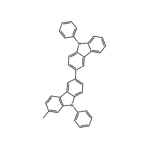 Cc1ccc2c3cc(-c4ccc5c(c4)c4ccccc4n5-c4ccccc4)ccc3n(-c3ccccc3)c2c1